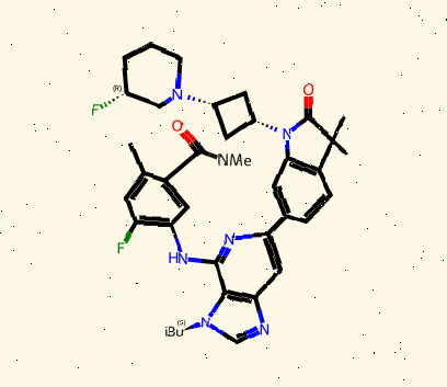 CC[C@H](C)n1cnc2cc(-c3ccc4c(c3)N([C@H]3C[C@@H](N5CCC[C@@H](F)C5)C3)C(=O)C4(C)C)nc(Nc3cc(C(=O)NC)c(C)cc3F)c21